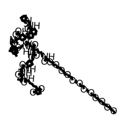 COCCOCCOCCOCCOCCOCCOCCOCCOCCOCCOCCOCC(=O)NCCCCC(NC(=O)OCc1ccc(NC(=O)[C@H](C)NC(=O)[C@@H](NC(=O)CCCCCN2C(=O)C=CC2=O)C(C)C)cc1)C(=O)N[C@H](C)C(=O)NCCOC12CC3(C)CC(C)(CC(Cn4ncc(-c5ccc(N6CCc7cccc(C(=O)Nc8nc9ccccc9s8)c7C6)cc5C(=O)O)c4C)(C3)C1)C2